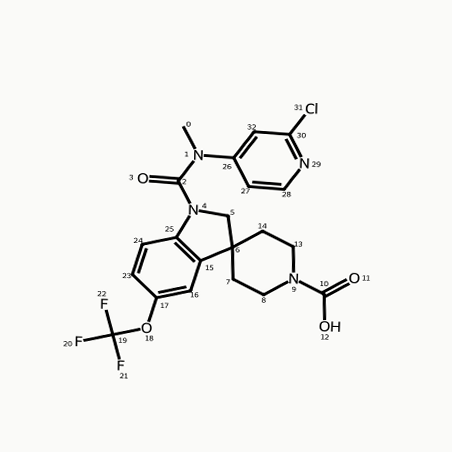 CN(C(=O)N1CC2(CCN(C(=O)O)CC2)c2cc(OC(F)(F)F)ccc21)c1ccnc(Cl)c1